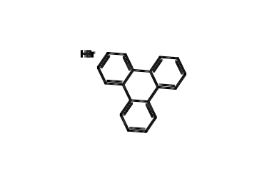 Br.c1ccc2c(c1)c1ccccc1c1ccccc21